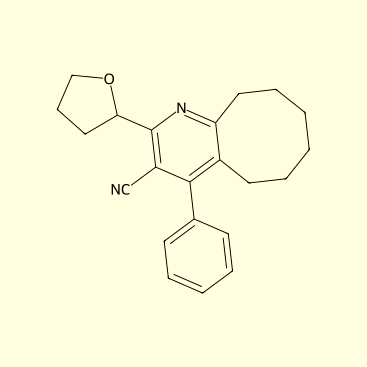 N#Cc1c(C2CCCO2)nc2c(c1-c1ccccc1)CCCCCC2